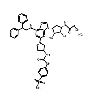 Cl.NS(=O)(=O)c1ccc(NC(=O)NC2CCN(c3nc(NCC(c4ccccc4)c4ccccc4)c4ncn([C@@H]5C[C@H](NC(=O)CO)[C@@H](O)[C@H]5O)c4n3)C2)cc1